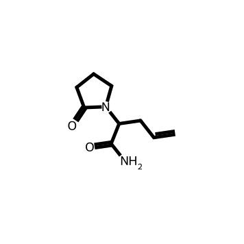 C=CCC(C(N)=O)N1CCCC1=O